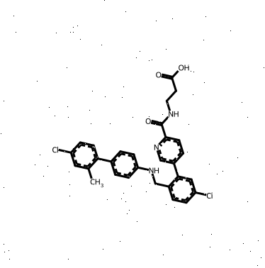 Cc1cc(Cl)ccc1-c1ccc(NCc2ccc(Cl)cc2-c2ccc(C(=O)NCCC(=O)O)nc2)cc1